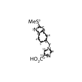 CSc1nc2ccc(Cn3cnc(C(=O)O)c3)cc2s1